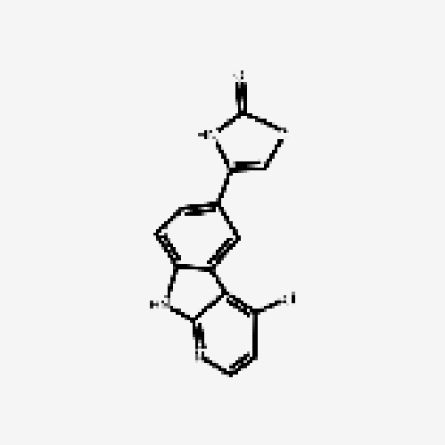 O=c1[nH]c(-c2ccc3[nH]c4nccc(Cl)c4c3c2)cs1